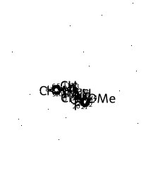 C#CC(C)(c1ccc(Cl)cc1)c1csc(NC(=O)c2c(F)ccc(OC)c2F)n1